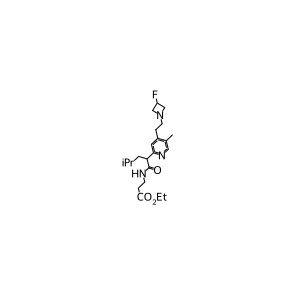 CCOC(=O)CCNC(=O)C(CC(C)C)c1cc(CCN2CC(F)C2)c(C)cn1